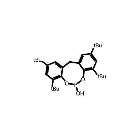 CC(C)(C)c1cc2c(c(C(C)(C)C)c1)OP(O)Oc1c(cc(C(C)(C)C)cc1C(C)(C)C)C2